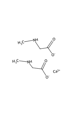 CNCC(=O)[O-].CNCC(=O)[O-].[Ca+2]